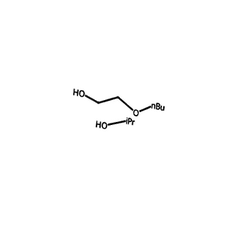 CC(C)O.CCCCOCCO